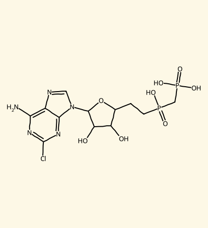 Nc1nc(Cl)nc2c1ncn2C1OC(CCP(=O)(O)CP(=O)(O)O)C(O)C1O